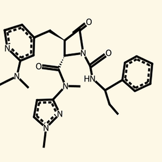 CCC(NC(=O)N1C(=O)[C@H](Cc2ccnc(N(C)C)c2)[C@H]1C(=O)N(C)c1ccn(C)n1)c1ccccc1